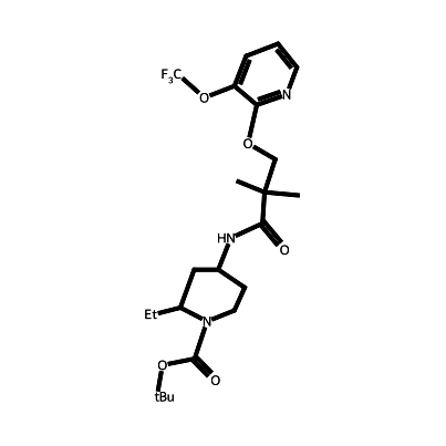 CCC1CC(NC(=O)C(C)(C)COc2ncccc2OC(F)(F)F)CCN1C(=O)OC(C)(C)C